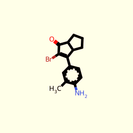 Cc1cc(C2=C(Br)C(=O)C3CCCC23)ccc1N